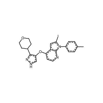 Cc1ccc(-n2c(I)cc3c(Oc4c[nH]nc4C4CCOCC4)ccnc32)cc1